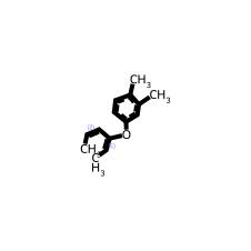 C/C=C\C(=C/C)Oc1ccc(C)c(C)c1